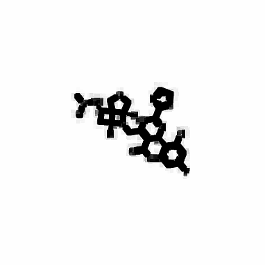 COC(=O)C1=C(CN2[C@@H]3COCC34[C@@H](N[S+](C)[O-])C[C@@H]24)NC(c2nccs2)=N[C@H]1c1ccc(F)cc1Cl